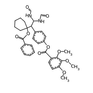 COc1ccc(C(=O)Oc2ccc(C(C(NC=O)NC=O)C3(OC(=O)c4ccccc4)CCCCC3)cc2)c(OC)c1OC